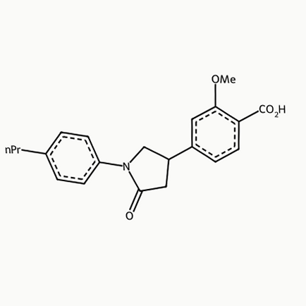 CCCc1ccc(N2CC(c3ccc(C(=O)O)c(OC)c3)CC2=O)cc1